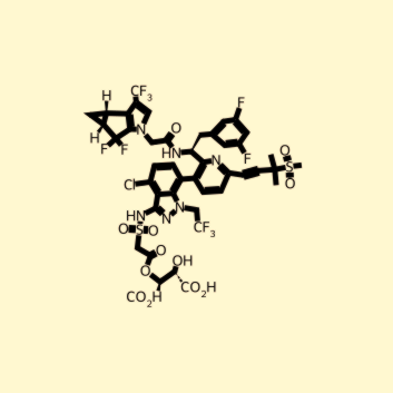 CC(C)(C#Cc1ccc(-c2ccc(Cl)c3c(NS(=O)(=O)CC(=O)O[C@H](C(=O)O)[C@H](O)C(=O)O)nn(CC(F)(F)F)c23)c([C@H](Cc2cc(F)cc(F)c2)NC(=O)Cn2cc(C(F)(F)F)c3c2C(F)(F)[C@@H]2C[C@H]32)n1)S(C)(=O)=O